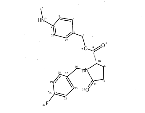 CNc1ccc(COC(=O)[C@@H]2CCC(=O)N2Cc2ccc(F)cc2)cc1